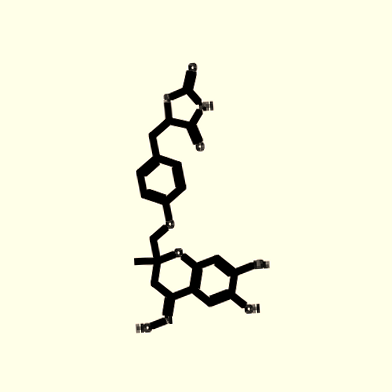 CC1(COc2ccc(CC3SC(=O)NC3=O)cc2)C/C(=N\O)c2cc(O)c(C(C)(C)C)cc2O1